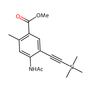 COC(=O)c1cc(C#C[Si](C)(C)C)c(NC(C)=O)cc1C